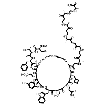 CC(=O)N[C@@H](CC(C)C)C(=O)N[C@H](C(=O)N[C@@H](Cc1ccccc1)C(=O)N[C@]1(C)CCCCCC/C=C/CCC[C@@](C)(C(=O)CN[C@@H](C)C(=O)CCN[C@@H](C)C(=O)CCC(=O)[C@H](C)NCCC(=O)[C@H](C)NCCC(=O)[C@H](C)NCN[C@H](C)C(N)=O)NC(=O)[C@H](CC2CCC2)NC(=O)[C@H](CCC(N)=O)NC(=O)[C@H](CO)NC(=O)[C@H](Cc2c[nH]c3ccccc23)NN[C@@H](Cc2ccc(O)cc2)C(=O)C(=O)[C@H](CCC(=O)O)NC1=O)[C@@H](C)O